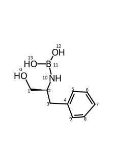 OC[C@H](Cc1ccccc1)NB(O)O